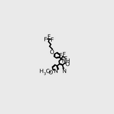 COc1ccc(C2=C(C#N)C(=O)NC(c3ccc(OCCCCC(F)(F)F)cc3)(C(F)(F)F)C2)cn1